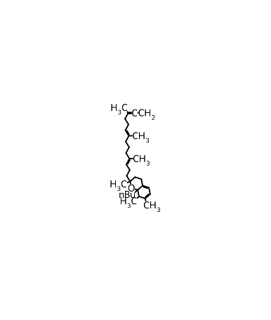 C=C=C(C)CC/C=C(\C)CCC/C(C)=C/CCC1(C)CCC2=CC=C(C)C(C)C2(CCCC)O1